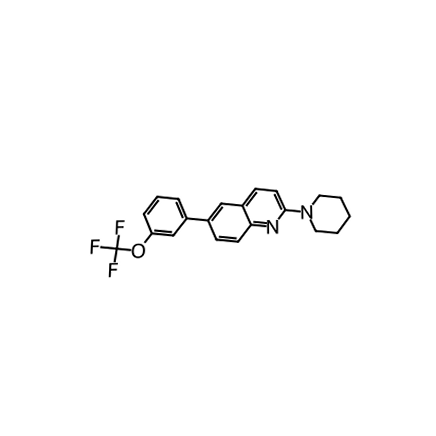 FC(F)(F)Oc1cccc(-c2ccc3nc(N4CCCCC4)ccc3c2)c1